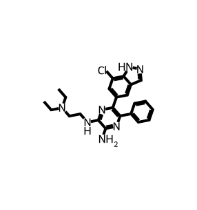 CCN(CC)CCNc1nc(-c2cc(Cl)c3[nH]ncc3c2)c(-c2ccccc2)nc1N